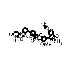 COc1cc(-c2cn(C)c(=O)c3cnc(N4CC(F)(F)C4)cc23)cc(OC)c1CN1Cc2ccc(-c3cccc4c3n(C)c(=O)n4C3CCC(=O)NC3=O)cc2C1=O